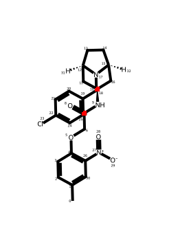 Cc1ccc(OCC(=O)N[C@H]2C[C@H]3CC[C@@H](C2)N3Cc2ccc(Cl)cc2)c([N+](=O)[O-])c1